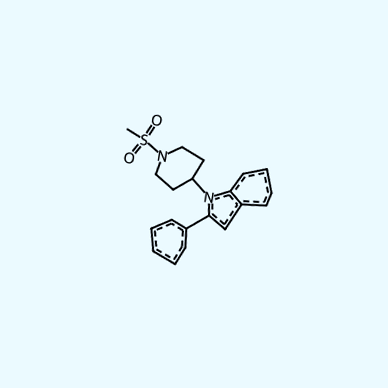 CS(=O)(=O)N1CCC(n2c(-c3ccccc3)cc3ccccc32)CC1